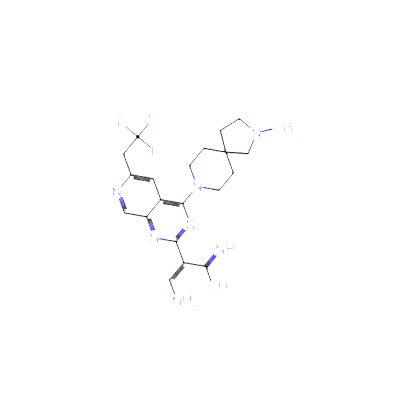 CC(=N)/C(=C\N)c1nc(N2CCC3(CCN(C)C3)CC2)c2cc(CC(F)(F)F)ncc2n1